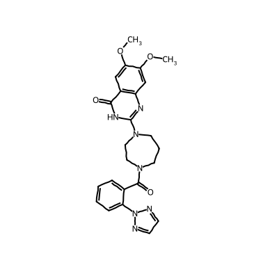 COc1cc2nc(N3CCCN(C(=O)c4ccccc4-n4nccn4)CC3)[nH]c(=O)c2cc1OC